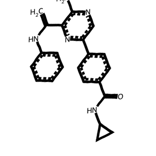 C=C(Nc1ccccc1)c1nc(-c2ccc(C(=O)NC3CC3)cc2)cnc1N